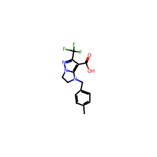 Cc1ccc(CN2CCn3nc(C(F)(F)F)c(C(=O)O)c32)cc1